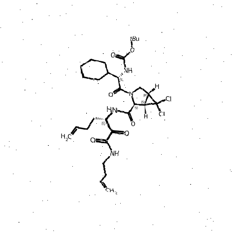 C=CCCNC(=O)C(=O)[C@H](CCC=C)NC(=O)[C@@H]1[C@@H]2[C@H](CN1C(=O)[C@@H](NC(=O)OC(C)(C)C)C1CCCCC1)C2(Cl)Cl